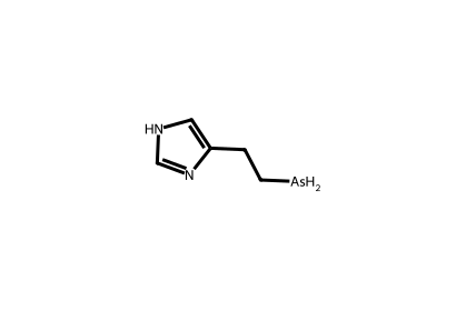 [AsH2]CCc1c[nH]cn1